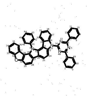 c1ccc(-c2nc(-c3ccccc3)nc(-n3c4ccccc4c4c3ccc3c5ccc6oc7ccccc7c6c5n(-c5ccccc5)c34)n2)cc1